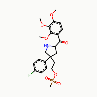 COc1ccc(C(=O)C2CC(CCOS(C)(=O)=O)(c3ccc(F)cc3)CN2)c(OC)c1OC